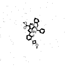 COC(=O)c1cnc(N(Cc2ccccc2)Cc2ccccc2)c2[nH]c(-c3cccc([C@H]4C[C@H](OC)C4)c3F)cc12